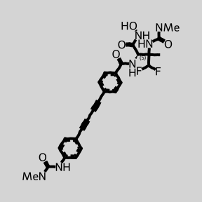 CNC(=O)Nc1ccc(C#CC#Cc2ccc(C(=O)N[C@H](C(=O)NO)C(C)(NC(=O)NC)C(F)F)cc2)cc1